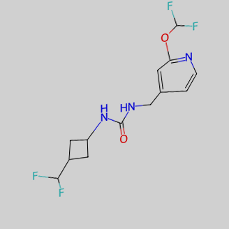 O=C(NCc1ccnc(OC(F)F)c1)NC1CC(C(F)F)C1